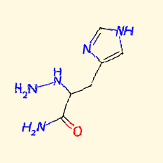 NNC(Cc1c[nH]cn1)C(N)=O